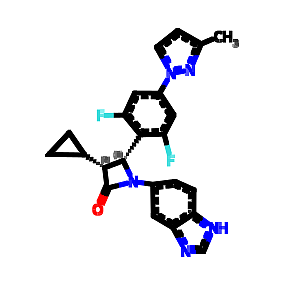 Cc1ccn(-c2cc(F)c([C@H]3[C@@H](C4CC4)C(=O)N3c3ccc4[nH]cnc4c3)c(F)c2)n1